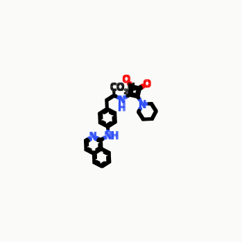 O=C(O)[C@H](Cc1ccc(Nc2nccc3ccccc23)cc1)Nc1c(N2CCCCC2)c(=O)c1=O